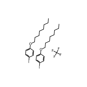 CCCCCCCCOc1ccc(I)cc1.CCCCCCCCOc1ccc(I)cc1.FC(F)(F)F